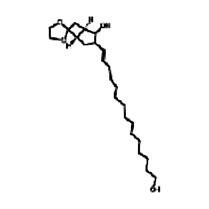 OCCCCCCCCCCCCCC=C[C@H]1C[C@H]2[C@@H](CC23OCCO3)C1O